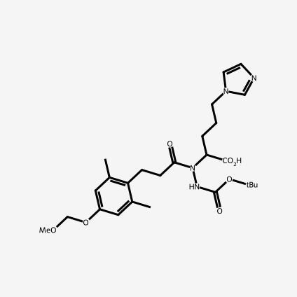 COCOc1cc(C)c(CCC(=O)N(NC(=O)OC(C)(C)C)C(CCCn2ccnc2)C(=O)O)c(C)c1